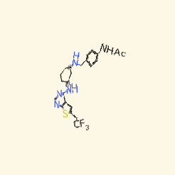 CC(=O)Nc1ccc(CN[C@H]2CCC[C@@H](Nc3ncnc4sc(CC(F)(F)F)cc34)C2)cc1